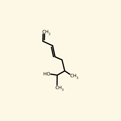 C=C/C=C/CC(C)C(C)O